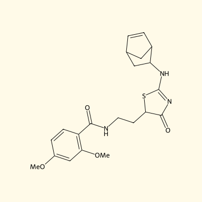 COc1ccc(C(=O)NCCC2SC(NC3CC4C=CC3C4)=NC2=O)c(OC)c1